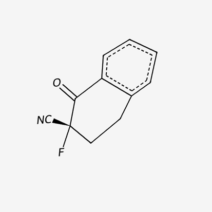 N#C[C@]1(F)CCc2ccccc2C1=O